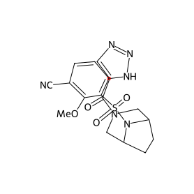 COc1c(C#N)cccc1S(=O)(=O)N1C2CCC1CN(C(=O)c1cnn[nH]1)C2